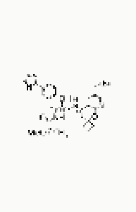 CO[C@@H](C)C(=O)N[C@@H](Cc1cccc(-c2nccs2)c1)[C@@H](O)CN[C@H]1CC2(CCC2)Oc2ncc(CC(C)(C)C)cc21